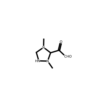 CN1CNN(C)C1C(=O)C=O